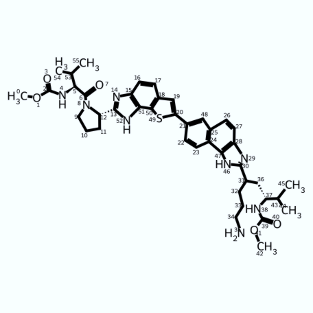 COC(=O)N[C@H](C(=O)N1CCC[C@H]1c1nc2ccc3cc(-c4ccc5c(ccc6nc(C(CCCN)C[C@@H](NC(=O)OC)C(C)C)[nH]c65)c4)sc3c2[nH]1)C(C)C